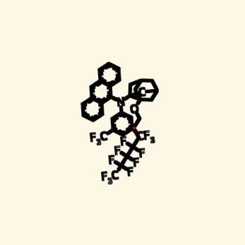 FC(F)(F)c1cc(N(c2c3ccccc3cc3ccccc23)C23CC4CC(CC2(OCCCC(F)(F)C(F)(F)C(F)(F)C(F)(F)F)C4)C3)cc(C(F)(F)F)c1